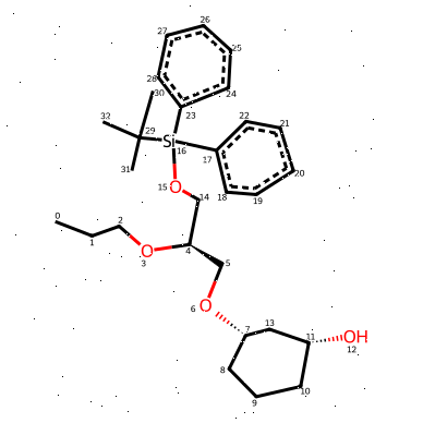 CCCO[C@H](CO[C@H]1CCC[C@@H](O)C1)CO[Si](c1ccccc1)(c1ccccc1)C(C)(C)C